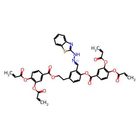 C=CC(=O)Oc1ccc(C(=O)OCCc2ccc(OC(=O)c3ccc(OC(=O)C=C)c(OC(=O)C=C)c3)c(/C=N/Nc3nc4ccccc4s3)c2)cc1OC(=O)C=C